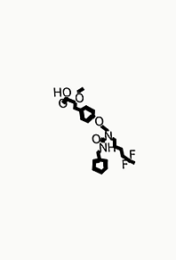 CCOC(Cc1ccc(OCCN(CCCCC(C)(F)F)C(=O)NCc2ccccc2)cc1)C(=O)O